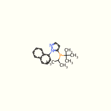 CC(C)P(c1ccnn1-c1cccc2ccccc12)C(C)(C)C